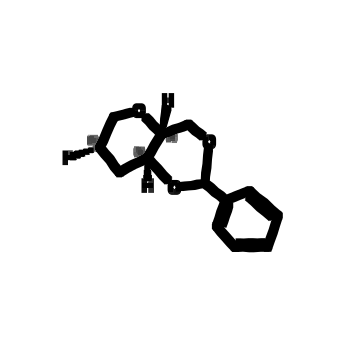 F[C@@H]1CO[C@@H]2COC(c3ccccc3)O[C@H]2C1